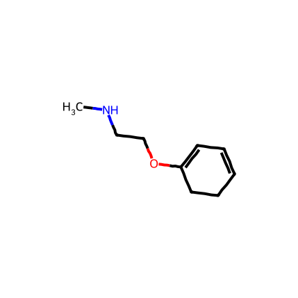 CNCCOC1=CC=CCC1